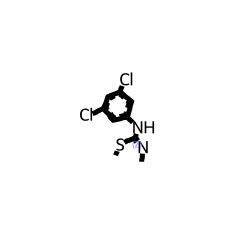 C/N=C(/Nc1cc(Cl)cc(Cl)c1)SC